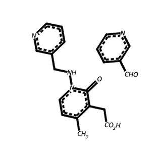 Cc1ccn(NCc2cccnc2)c(=O)c1CC(=O)O.O=Cc1cccnc1